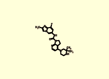 Cc1cn2cc(NC(=O)N3CCc4c(N5CCNC(C)(C)C5)ccnc43)cc(F)c2n1